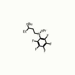 CCCCC(CC)CCN(CCC)c1c(F)c(F)c(F)c(F)c1F